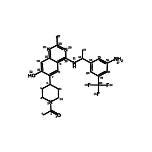 CC(=O)N1CCC(c2cc3c(NC(C)c4cc(N)cc(C(F)(F)F)c4)nc(C)nc3cc2O)CC1